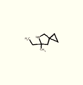 CCC1(C)CC2(CC2)CN1